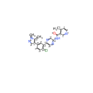 Cc1ccncc1C(=O)Nc1cnc(-c2cc(-c3cnn(C)c3C)ccc2Cl)cn1